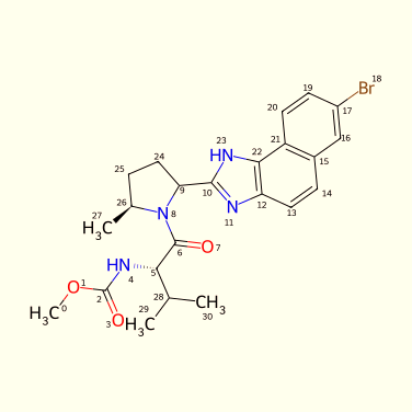 COC(=O)N[C@H](C(=O)N1C(c2nc3ccc4cc(Br)ccc4c3[nH]2)CC[C@@H]1C)C(C)C